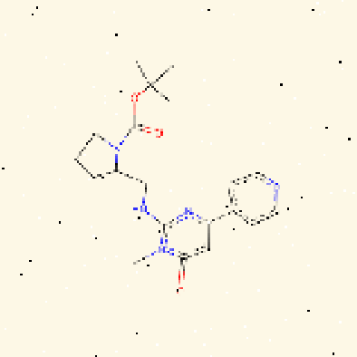 Cn1c(NCC2CCCN2C(=O)OC(C)(C)C)nc(-c2ccncc2)cc1=O